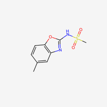 Cc1ccc2oc(NS(C)(=O)=O)nc2c1